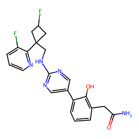 NC(=O)Cc1cccc(-c2cnc(NCC3(c4ncccc4F)CC(F)C3)nc2)c1O